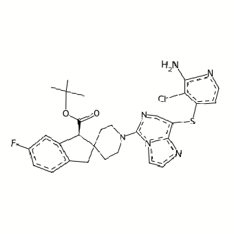 CC(C)(C)OC(=O)[C@@H]1c2cc(F)ccc2CC12CCN(c1ncc(Sc3ccnc(N)c3Cl)c3nccn13)CC2